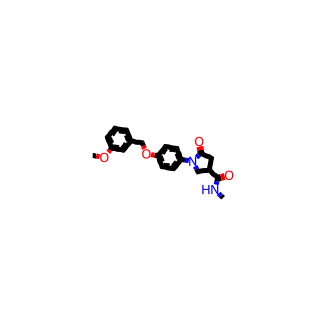 CNC(=O)C1CC(=O)N(c2ccc(OCc3cccc(OC)c3)cc2)C1